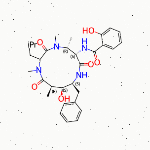 CC(C)CC1C(=O)N(C)[C@H](C)[C@H](NC(=O)c2ccccc2O)C(=O)N[C@@H](Cc2ccccc2)[C@@H](O)[C@@H](C)C(=O)N1C